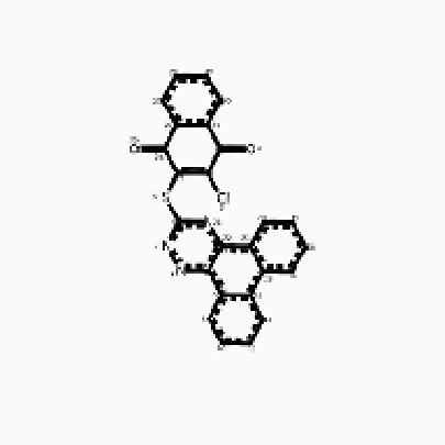 O=C1C(Cl)=C(Sc2nnc3c4ccccc4c4ccccc4c3n2)C(=O)c2ccccc21